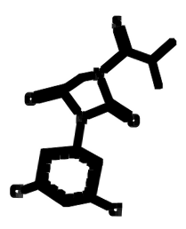 CC(C)C(=S)N1CC(=O)N(c2cc(Cl)cc(Cl)c2)C1=O